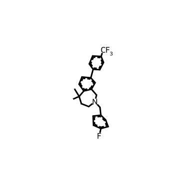 CC1(C)CCN(Cc2ccc(F)cc2)Cc2cc(-c3ccc(C(F)(F)F)cc3)ccc21